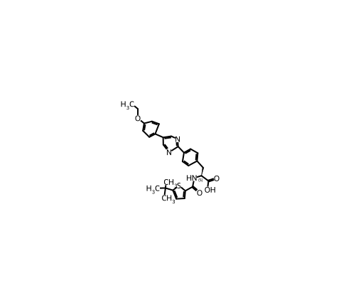 CCOc1ccc(-c2cnc(-c3ccc(C[C@H](NC(=O)c4ccc(C(C)(C)C)s4)C(=O)O)cc3)nc2)cc1